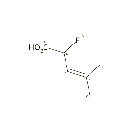 CC(C)=CC(F)C(=O)O